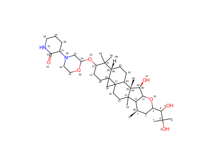 C[C@@H]1CC(C(O)C(C)(C)O)OC2C1C1(C)CCC34CC35CCC(OC3CN(C6CCCNC6=O)CCO3)C(C)(C)[C@@H]5CCC4[C@]1(C)[C@H]2O